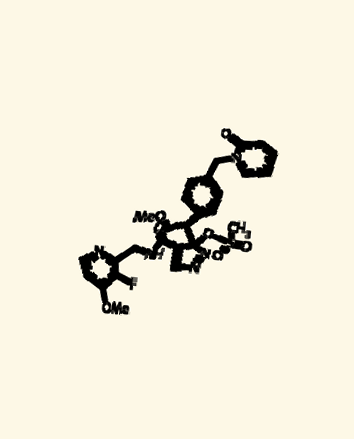 COCC(c1ccc(Cn2ccccc2=O)cc1)C1(OS(C)(=O)=O)N=NC=C1C(=O)NCc1nccc(OC)c1F